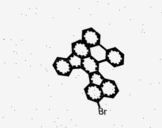 Brc1ccc2c3c1cccc3c1c(-c3ccccc3-c3ccccc3)c3cccc4c5ccccc5c(c34)c21